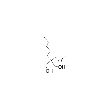 CCCCCC(CO)(CO)COC